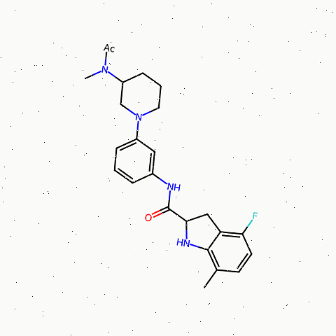 CC(=O)N(C)C1CCCN(c2cccc(NC(=O)C3Cc4c(F)ccc(C)c4N3)c2)C1